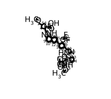 COCC1CC(c2nc3ccc4cc(-c5ccc(-c6cnc([C@@H]7CCCN7C(=O)[C@@H](NC(=O)OC)C(C)C)[nH]6)cc5OC(F)F)ccc4c3[nH]2)N(C(=O)O)C1